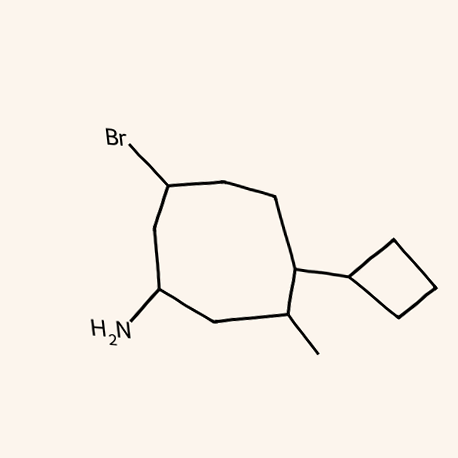 CC1CC(N)CC(Br)CCC1C1CCC1